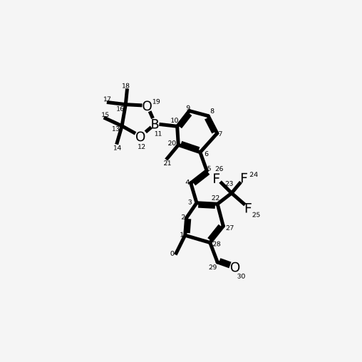 Cc1cc(/C=C/c2cccc(B3OC(C)(C)C(C)(C)O3)c2C)c(C(F)(F)F)cc1C=O